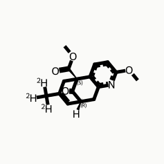 [2H]C([2H])([2H])C1=C[C@H]2Cc3nc(OC)ccc3[C@@](C(=O)OC)(C1)C2=O